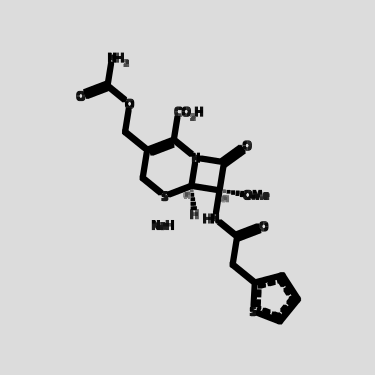 CO[C@@]1(NC(=O)Cc2cccs2)C(=O)N2C(C(=O)O)=C(COC(N)=O)CS[C@@H]21.[NaH]